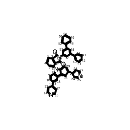 O=C1c2cccc(-n3c4ccc(-c5ccncc5)cc4c4cc(-c5ccncc5)ccc43)c2C(=O)N1c1cc(-c2ccccc2)cc(-c2ccccc2)c1